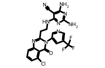 N#Cc1c(N)nc(N)nc1NCCc1nc2cccc(Cl)c2c(=O)n1-c1cncc(C(F)(F)F)c1